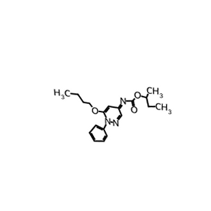 CCCCOc1cc(=NC(=O)OC(C)CC)cnn1-c1ccccc1